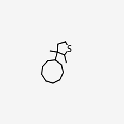 CC1SCCC1(C)C1CCCCCCCC1